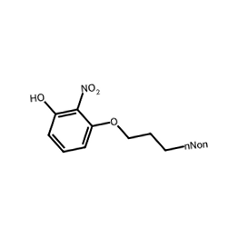 CCCCCCCCCCCCOc1cccc(O)c1[N+](=O)[O-]